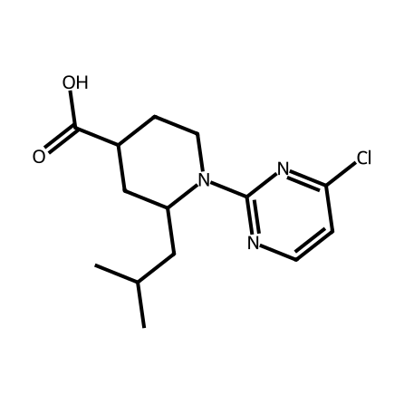 CC(C)CC1CC(C(=O)O)CCN1c1nccc(Cl)n1